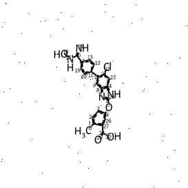 Cc1ccc(Oc2nc3cc(-c4ccc(C(=N)NO)cc4)c(Cl)cc3[nH]2)cc1C(=O)O